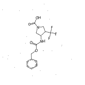 O=C(NC1CN(C(=O)O)CC1C(F)(F)F)OCc1ccccc1